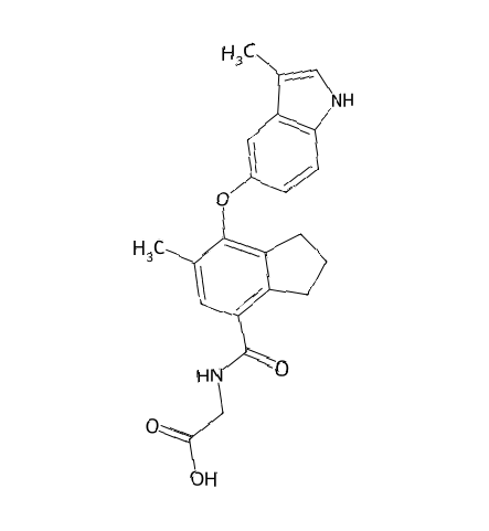 Cc1cc(C(=O)NCC(=O)O)c2c(c1Oc1ccc3[nH]cc(C)c3c1)CCC2